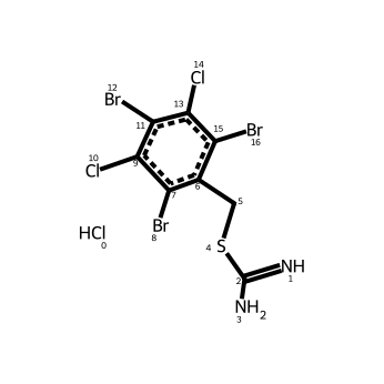 Cl.N=C(N)SCc1c(Br)c(Cl)c(Br)c(Cl)c1Br